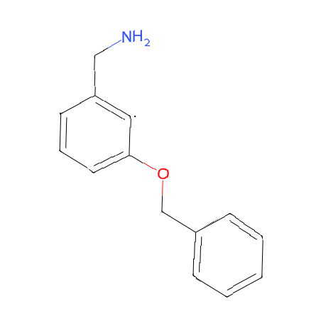 NCc1[c]c(OCc2ccccc2)ccc1